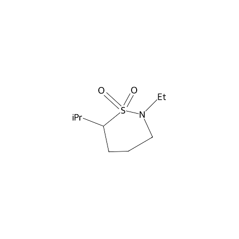 CCN1CCCC(C(C)C)S1(=O)=O